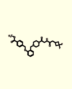 COC(=O)c1ccc(COc2ccccc2CN2CCN(C(=O)CNC(=O)CC3CC(F)(F)C3)CC2)cc1